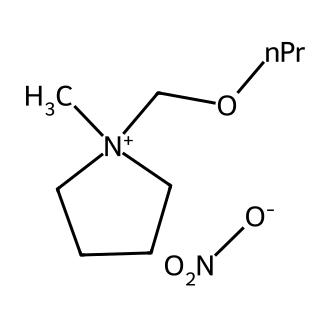 CCCOC[N+]1(C)CCCC1.O=[N+]([O-])[O-]